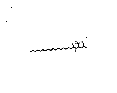 CCCCCC=CCC=CCCCCCCCC(=O)NC(CC(C)C)C(=O)O